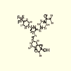 Cc1cc(SCc2sc(-c3ccc(C(F)(F)F)cc3)nc2CN2CCN(C(=O)C(C)C)CC2)ccc1OC(C)C(=O)O